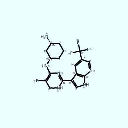 N[C@@H]1CCC[C@@H](NC2=C(F)CNC(c3c[nH]c4ncc(C(F)(F)F)cc34)=N2)C1